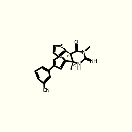 CN1C(=N)N[C@](C)(c2cc(-c3cccc(C#N)c3)cs2)[C@@H](c2cccs2)C1=O